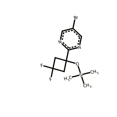 C[Si](C)(C)OC1(c2ncc(Br)cn2)CC(F)(F)C1